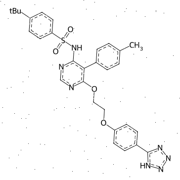 Cc1ccc(-c2c(NS(=O)(=O)c3ccc(C(C)(C)C)cc3)ncnc2OCCOc2ccc(-c3nnn[nH]3)cc2)cc1